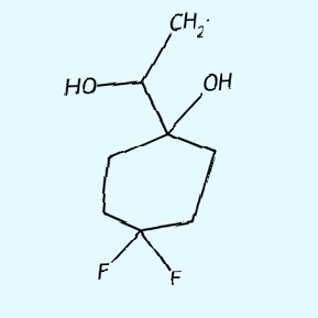 [CH2]C(O)C1(O)CCC(F)(F)CC1